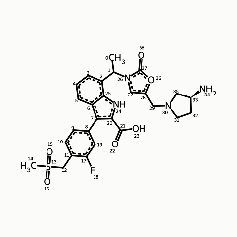 CC(c1cccc2c(-c3ccc(CS(C)(=O)=O)c(F)c3)c(C(=O)O)[nH]c12)n1cc(CN2CC[C@H](N)C2)oc1=O